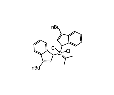 CCCCC1=C[CH]([Zr]([Cl])([Cl])(=[C](C)C)[CH]2C=C(CCCC)c3ccccc32)c2ccccc21